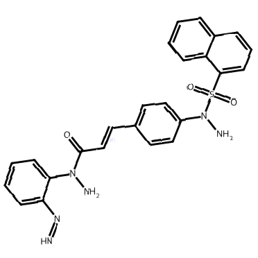 N=Nc1ccccc1N(N)C(=O)/C=C/c1ccc(N(N)S(=O)(=O)c2cccc3ccccc23)cc1